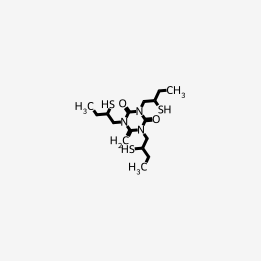 C=C1N(CC(S)CC)C(=O)N(CC(S)CC)C(=O)N1CC(S)CC